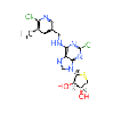 O[C@@H]1[C@H](O)CS[C@H]1n1cnc2c(NCc3cnc(Cl)c(C(F)(F)F)c3)nc(Cl)nc21